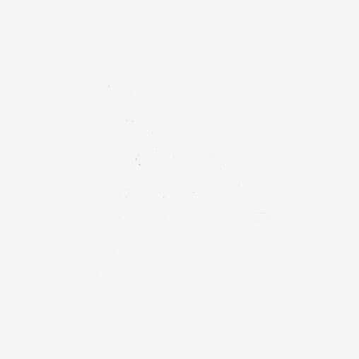 C=C(OCC)c1cc(-c2ccc(P)cc2F)c2c(n1)OC(C(C)CC)CC2